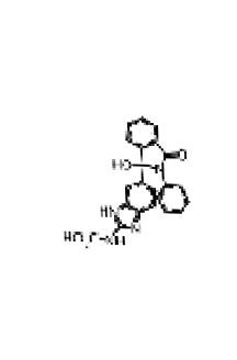 O=C(O)Nc1nc2ccc(C3(O)c4ccccc4C(=O)N3c3ccccc3)cc2[nH]1